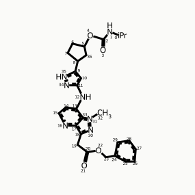 CC(C)NC(=O)OC1CCC(c2cc(Nc3ccnc4c(CC(=O)OCc5ccccc5)nn(C)c34)n[nH]2)C1